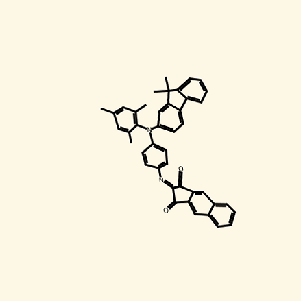 Cc1cc(C)c(N(c2ccc(N=c3c(=O)c4cc5ccccc5cc4c3=O)cc2)c2ccc3c(c2)C(C)(C)c2ccccc2-3)c(C)c1